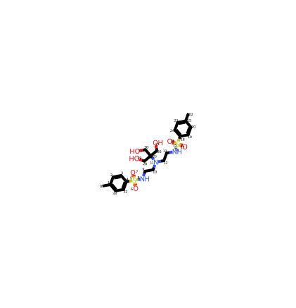 Cc1ccc(S(=O)(=O)NCCN(CCNS(=O)(=O)c2ccc(C)cc2)C(CO)(CO)CO)cc1